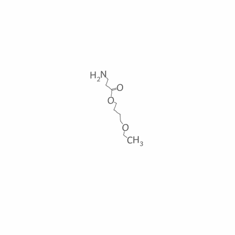 CCOCCCCOC(=O)CCN